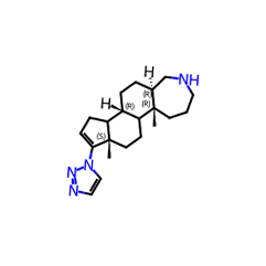 C[C@]12CCC3[C@@H](CC[C@H]4CNCCC[C@]34C)C1CC=C2n1ccnn1